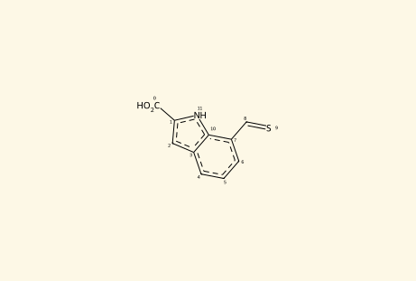 O=C(O)c1cc2cccc(C=S)c2[nH]1